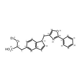 CCOC(Cc1ccc2c(ccn2Cc2coc(-c3ccccc3)n2)c1)C(=O)O